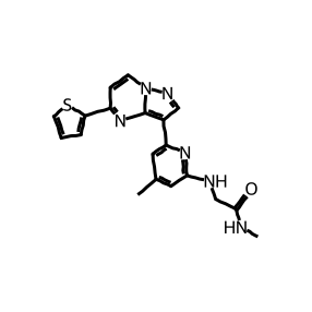 CNC(=O)CNc1cc(C)cc(-c2cnn3ccc(-c4cccs4)nc23)n1